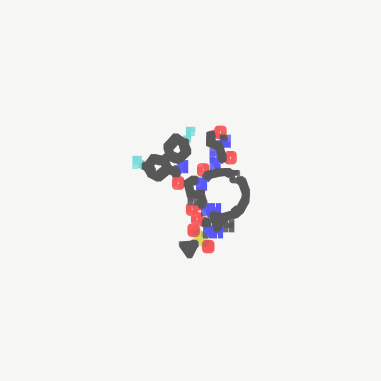 O=C(N[C@H]1CCCCC/C=C\[C@@H]2C[C@@]2(C(=O)NS(=O)(=O)C2CC2)NC(=O)[C@@H]2C[C@@H](Oc3nc4cc(F)ccc4c4cc(F)ccc34)CN2C1=O)c1ccon1